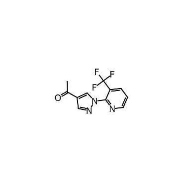 CC(=O)c1cnn(-c2ncccc2C(F)(F)F)c1